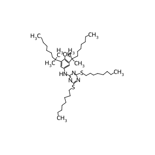 CCCCCCCCSc1nc(Nc2cc(C(C)(C)CCCCCCC)c(O)c(C(C)(C)CCCCCCC)c2)nc(SCCCCCCCC)n1